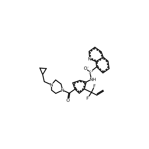 C=CC(F)(F)c1cc(C(=O)N2CCN(CC3CC3)CC2)ccc1N[S+]([O-])c1cccc2cccnc12